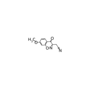 COc1ccc2c(=O)c(CC#N)noc2c1